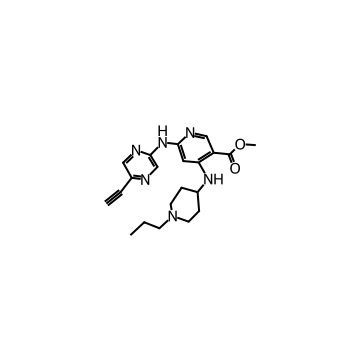 C#Cc1cnc(Nc2cc(NC3CCN(CCC)CC3)c(C(=O)OC)cn2)cn1